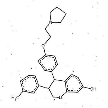 Cc1cccc(C2COc3cc(O)ccc3C2c2ccc(OCCN3CCCC3)cc2)c1